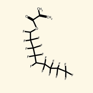 C=C(C)C(=O)OC(F)C(F)(F)C(F)(F)C(F)(F)C(F)C(F)(F)C(F)(F)C(F)(F)C(F)(F)F